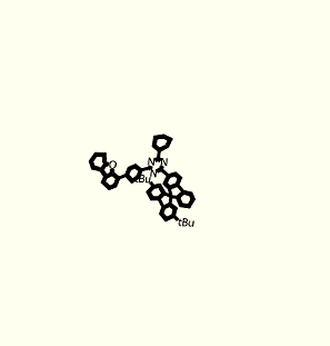 CC(C)(C)c1ccc2c(c1)C1(c3ccccc3-c3ccc(-c4nc(-c5ccccc5)nc(-c5ccc(-c6cccc7c6oc6ccccc67)cc5)n4)cc31)c1cc(C(C)(C)C)ccc1-2